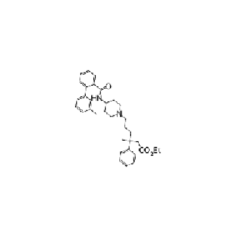 CCOC(=O)CC(C)(CCCN1CCC(NC(=O)c2ccccc2-c2cccc(C)c2)CC1)c1ccccc1